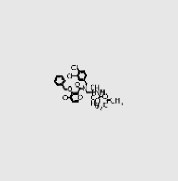 C=C(C)OC(=O)NC(C)(C)CN(Cc1ccc(Cl)c(Cl)c1)C(=O)c1occc(=O)c1OCc1ccccc1